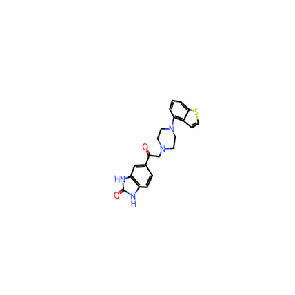 O=C(CN1CCN(c2cccc3sccc23)CC1)c1ccc2[nH]c(=O)[nH]c2c1